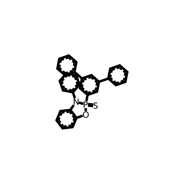 S=P1(c2cc(-c3ccccc3)cc(-c3ccccc3)c2)Oc2ccccc2N1c1ccccc1